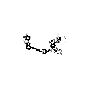 Cc1[nH]nc(Nc2ncnc3cc(OCCC4CCN(CCCCCCc5cccc6c5CN(C5CCC(=O)NC5=O)C6=O)CC4)c(S(=O)(=O)C(C)(C)C)cc23)c1C